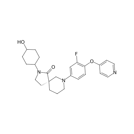 O=C1N(C2CCC(O)CC2)CC[C@]12CCCN(c1ccc(Oc3ccncc3)c(F)c1)C2